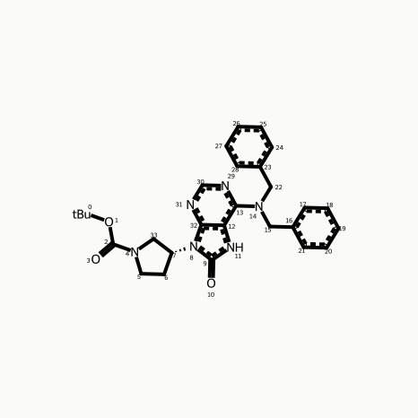 CC(C)(C)OC(=O)N1CC[C@@H](n2c(=O)[nH]c3c(N(Cc4ccccc4)Cc4ccccc4)ncnc32)C1